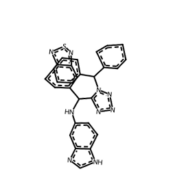 c1ccc(C(c2ccccc2)n2nnnc2C(Nc2ccc3[nH]cnc3c2)c2ccc3nsnc3c2)cc1